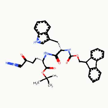 CC(C)(C)OC(=O)[C@H](CCC(=O)C=[N+]=[N-])NC(=O)[C@H](Cc1c[nH]c2ccccc12)NC(=O)OCC1c2ccccc2-c2ccccc21